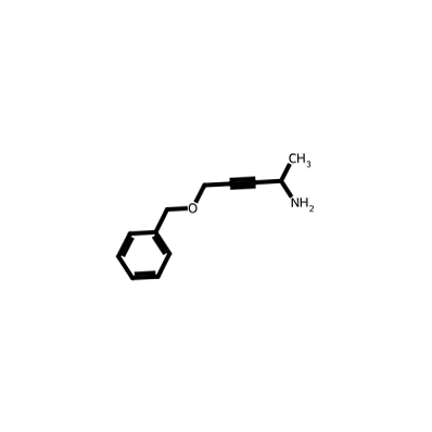 CC(N)C#CCOCc1ccccc1